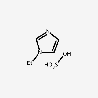 CCn1ccnc1.O=S(=O)(O)O